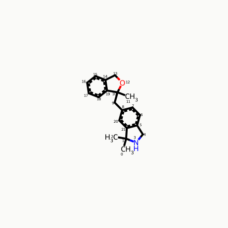 CC1(C)NCc2ccc(CC3(C)OCc4ccccc43)cc21